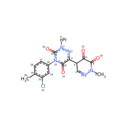 CCCn1nc(C2C=NN(C)C(=O)C2=O)c(=O)n(-c2ccc(C)c(Cl)c2)c1=O